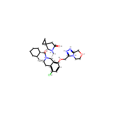 C[C@H]1CCCC[C@H]1C(=O)N1CCc2c(Cl)ccc(OCc3nnc4n3CCOC4)c2[C@H]1CN1CC2(CC2)CC1=O